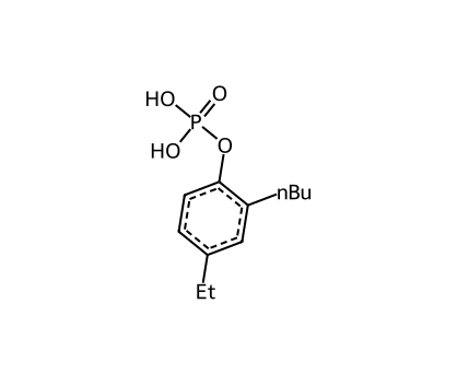 CCCCc1cc(CC)ccc1OP(=O)(O)O